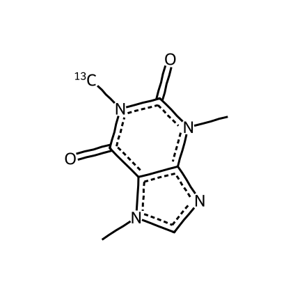 Cn1cnc2c1c(=O)n([13CH3])c(=O)n2C